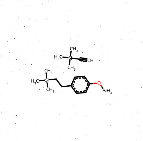 C#C[Si](C)(C)C.C[Si](C)(C)CCc1ccc(O[SiH3])cc1